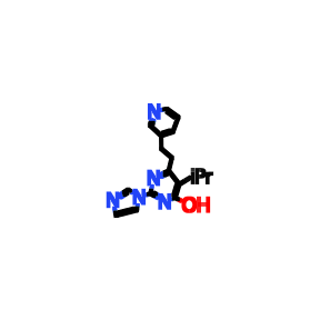 CC(C)c1c(O)nc(-n2ccnc2)nc1CCc1cccnc1